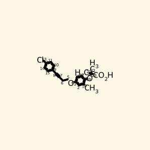 Cc1cc(OCCC#Cc2ccc(Cl)cc2)ccc1OC(C)(C)C(=O)O